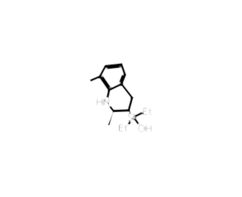 CC[Si](O)(CC)[C@@H]1Cc2cccc(C)c2N[C@@H]1C